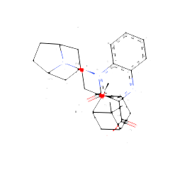 CC1(C)[C@H]2CC[C@@H](CCN3[C@@H]4CC[C@H]3C[C@@H](n3c(=O)c(C(=O)O)nc5ccccc53)C4)[C@@H]1C2